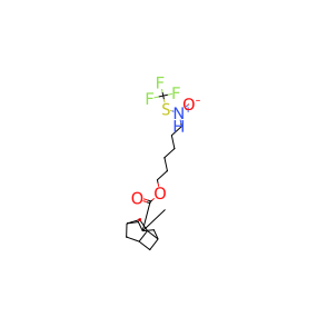 CC1(C(=O)OCCCCCC[NH+]([O-])SC(F)(F)F)C=C2CC3CC(CC23)C1